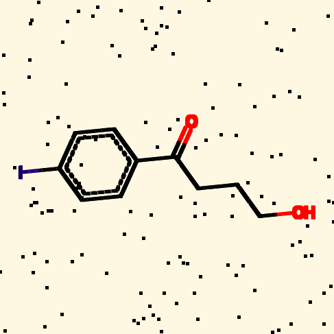 O=C(CCCO)c1ccc(I)cc1